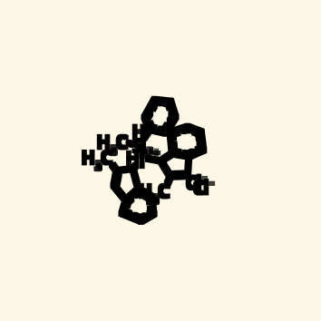 CC1=Cc2ccccc2[CH]1[Hf+2]([CH]1C(C)=Cc2ccccc21)[SiH](C)c1ccccc1.[Cl-].[Cl-]